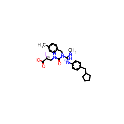 CN/C(=N\c1ccc(CC2CCCC2)cc1)N(Cc1ccc(C)cc1)C(=O)NC[C@H](I)C(=O)O